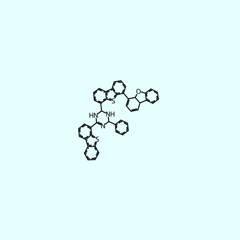 C1=CC2c3ccccc3OC2C(c2cccc3c2sc2c(C4NC(c5cccc6c5sc5ccccc56)=NC(c5ccccc5)N4)cccc23)=C1